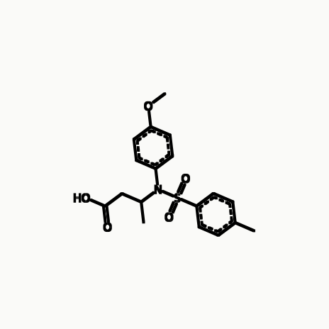 COc1ccc(N(C(C)CC(=O)O)S(=O)(=O)c2ccc(C)cc2)cc1